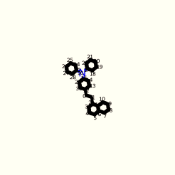 C(=C\c1cccc2ccccc12)/c1ccc(N(c2ccccc2)c2ccccc2)cc1